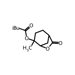 CCC(C)C(=O)OC1(C)CCC2CC1OC2=O